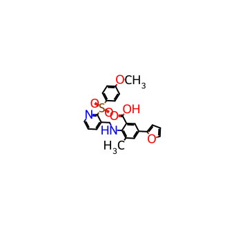 COc1ccc(S(=O)(=O)c2ncccc2CNc2c(C)cc(-c3ccco3)cc2C(=O)O)cc1